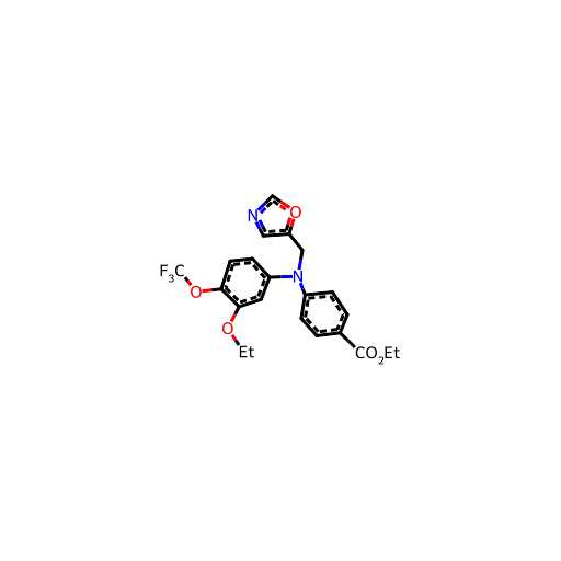 CCOC(=O)c1ccc(N(Cc2cnco2)c2ccc(OC(F)(F)F)c(OCC)c2)cc1